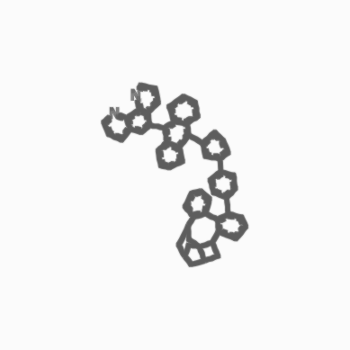 c1cc(-c2ccc(-c3cccc4c3-c3ccccc3C3CC5CC6CC4C6(C5)C3)cc2)cc(-c2c3ccccc3c(-c3cc4cccnc4c4ncccc34)c3ccccc23)c1